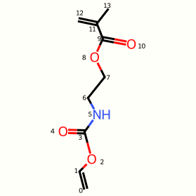 C=COC(=O)NCCOC(=O)C(=C)C